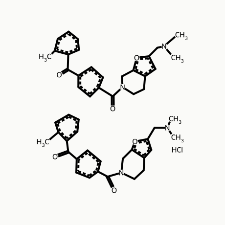 Cc1ccccc1C(=O)c1ccc(C(=O)N2CCc3cc(CN(C)C)oc3C2)cc1.Cc1ccccc1C(=O)c1ccc(C(=O)N2CCc3cc(CN(C)C)oc3C2)cc1.Cl